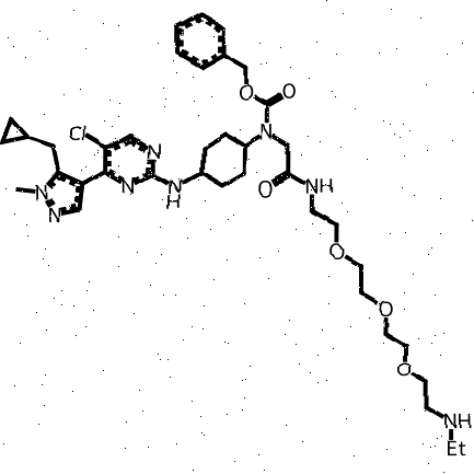 CCNCCOCCOCCOCCNC(=O)CN(C(=O)OCc1ccccc1)C1CCC(Nc2ncc(Cl)c(-c3cnn(C)c3CC3CC3)n2)CC1